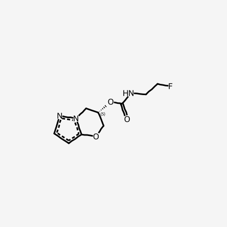 O=C(NCCF)O[C@@H]1COc2ccnn2C1